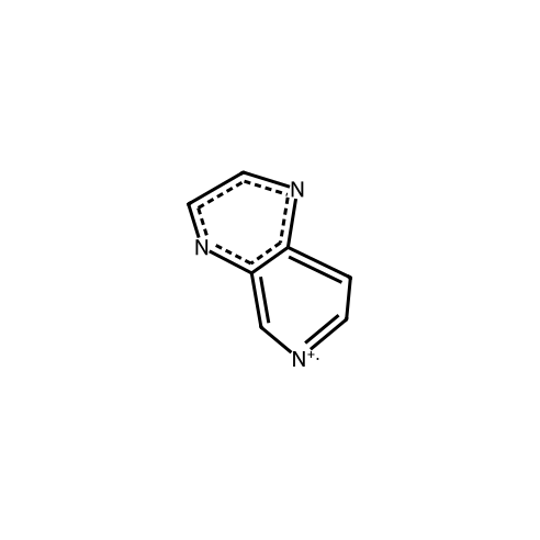 C1=[N+]C=c2nccnc2=C1